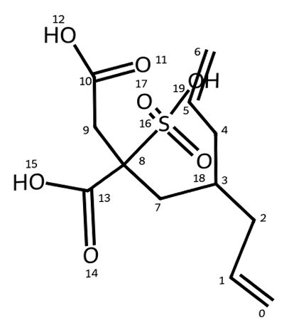 C=CCC(CC=C)CC(CC(=O)O)(C(=O)O)S(=O)(=O)O